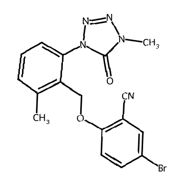 Cc1cccc(-n2nnn(C)c2=O)c1COc1ccc(Br)cc1C#N